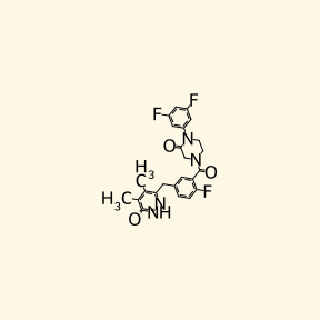 Cc1c(Cc2ccc(F)c(C(=O)N3CCN(c4cc(F)cc(F)c4)C(=O)C3)c2)n[nH]c(=O)c1C